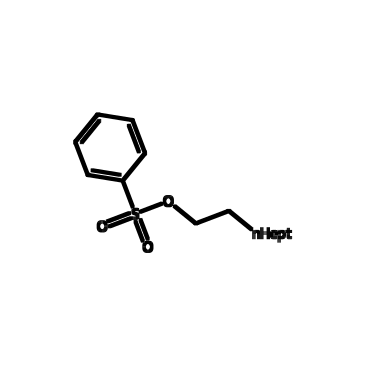 CCCCCCCCCOS(=O)(=O)c1ccccc1